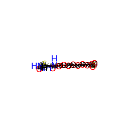 C[C@]12CSC(CCCCC(=O)NCCOCCOCCOCCOCCOCCOCCOCCOS(C)(=O)=O)[C@H]1NC(=O)N2